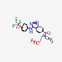 CN(CCO)C(=O)C1=CCc2ncnc(Nc3ccc(OC(F)(F)F)cc3)c2C=C1